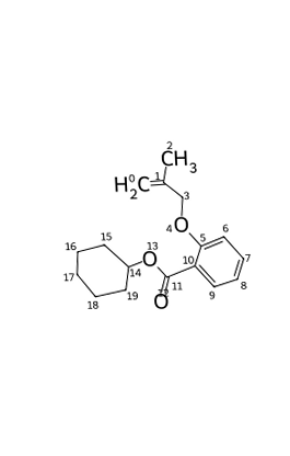 C=C(C)COc1ccccc1C(=O)OC1CCCCC1